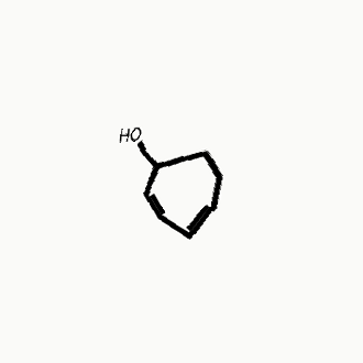 OC1C=CC=CCC1